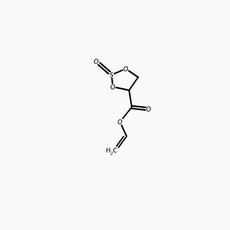 C=COC(=O)C1COS(=O)O1